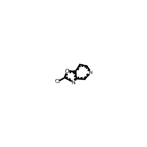 Clc1nc2cnccc2o1